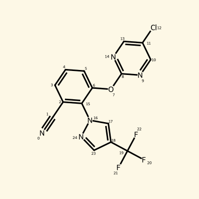 N#Cc1cccc(Oc2ncc(Cl)cn2)c1-n1cc(C(F)(F)F)cn1